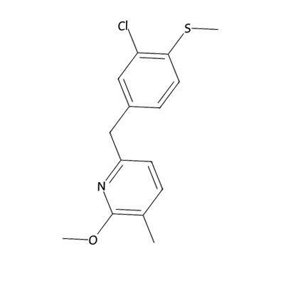 COc1nc(Cc2ccc(SC)c(Cl)c2)ccc1C